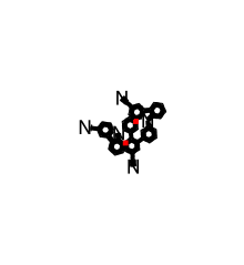 N#Cc1ccc(-c2ccccc2-n2c3ccccc3c3cc(C#N)ccc32)c(-c2cccc(-n3c4ccccc4c4cc(C#N)ccc43)c2)c1